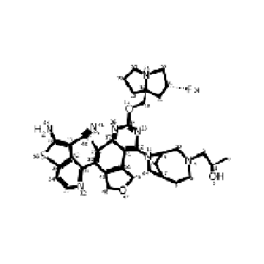 C[C@@H](O)CN1CCC2CC(C1)N(c1nc(OC[C@@]34CCCN3C[C@H](F)C4)nc3c(F)c(-c4nccc5sc(N)c(C#N)c45)c4c(c13)COC4)C2